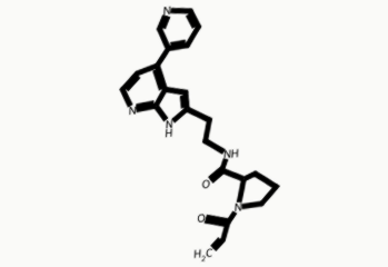 C=CC(=O)N1CCCC1C(=O)NCCc1cc2c(-c3cccnc3)ccnc2[nH]1